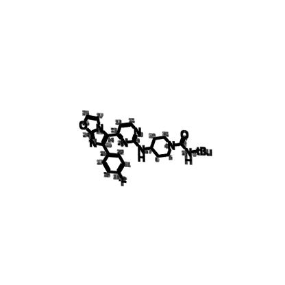 CC(C)(C)NC(=O)N1CCC(Nc2nccc(-c3c(-c4ccc(F)cc4)nc4occn34)n2)CC1